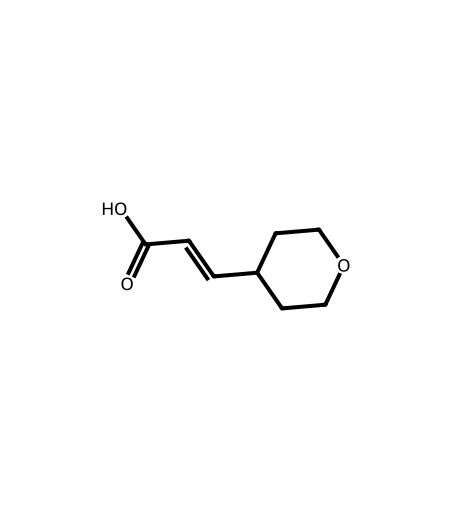 O=C(O)/C=C/C1CCOCC1